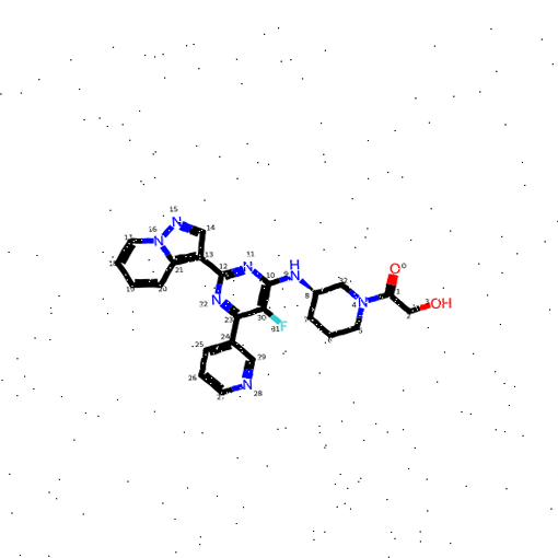 O=C(CO)N1CCC[C@@H](Nc2nc(-c3cnn4ccccc34)nc(-c3cccnc3)c2F)C1